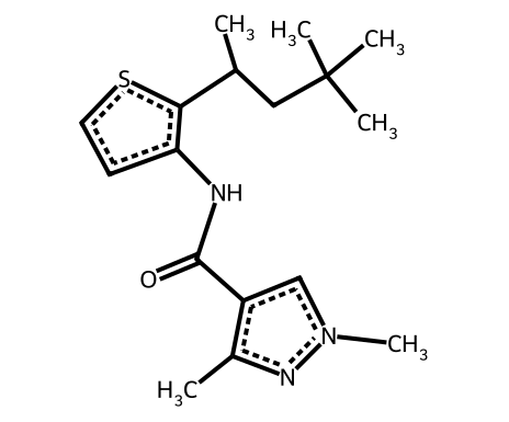 Cc1nn(C)cc1C(=O)Nc1ccsc1C(C)CC(C)(C)C